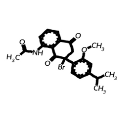 COc1cc(C(C)C)ccc1C1(Br)CC(=O)c2cccc(NC(C)=O)c2C1=O